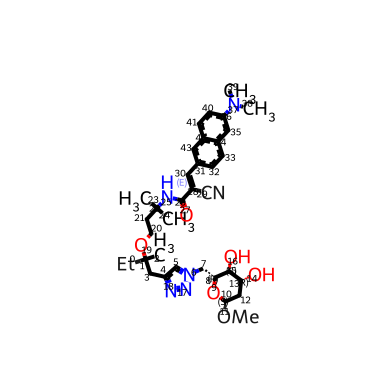 CCC(C)(Cc1cn(C[C@H]2O[C@H](OC)C[C@@H](O)[C@@H]2O)nn1)OCCC(C)(C)NC(=O)/C(C#N)=C/c1ccc2cc(N(C)C)ccc2c1